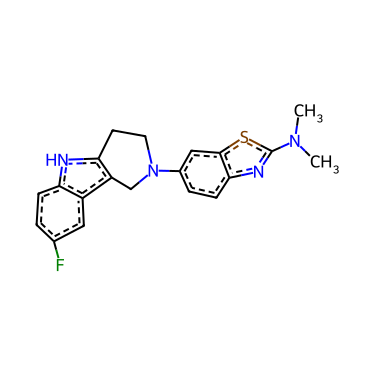 CN(C)c1nc2ccc(N3CCc4[nH]c5ccc(F)cc5c4C3)cc2s1